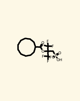 O=C(OC(CS(=O)(=O)O)(C(F)(F)F)C(F)(F)F)C1CCCCCCCCCC1